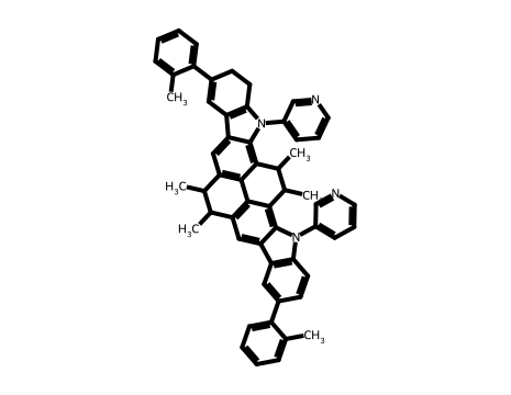 Cc1ccccc1C1=Cc2c(n(-c3cccnc3)c3c4c5c(cc23)C(C)C(C)c2cc3c6cc(-c7ccccc7C)ccc6n(-c6cccnc6)c3c(c2-5)C(C)C4C)CC1